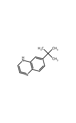 CC(C)(C)c1ccc2c(c1)NC=C=N2